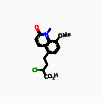 COc1ccc(CCC(Cl)C(=O)O)c2ccc(=O)n(C)c12